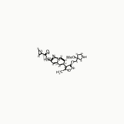 COC1(COc2noc(C)c2-c2ccn3nc(NC(=O)C4CC4)cc3c2)CCNC1